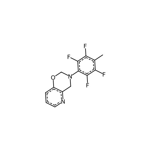 Cc1c(F)c(F)c(N2COc3cccnc3C2)c(F)c1F